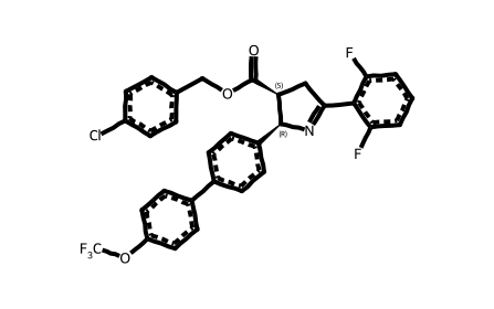 O=C(OCc1ccc(Cl)cc1)[C@H]1CC(c2c(F)cccc2F)=N[C@H]1c1ccc(-c2ccc(OC(F)(F)F)cc2)cc1